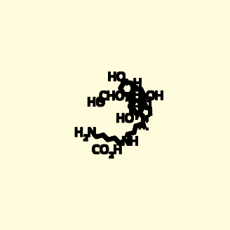 C[C@H](CCCNC(CCCCN)C(=O)O)[C@H]1CC[C@H]2[C@@H]3[C@H](O)C[C@@H]4C[C@H](O)CC[C@]4(C)[C@H]3C[C@H](O)[C@]12C.O=CO